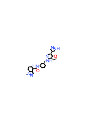 Cn1ncc2c(C(=O)Nc3cccc(CNc4ncc(-c5cn[nH]c5)c5c4CCO5)c3)cccc21